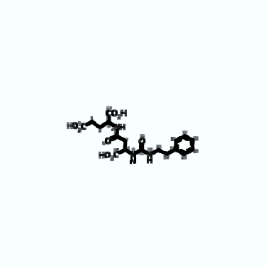 O=C(O)CCC(NC(=O)CC(NC(=O)NCCc1ccccc1)C(=O)O)C(=O)O